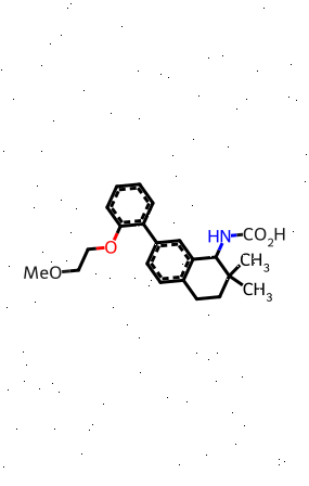 COCCOc1ccccc1-c1ccc2c(c1)C(NC(=O)O)C(C)(C)CC2